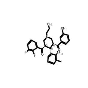 Cc1c(F)cccc1[C@H]1[C@@H](C(=O)c2cccc(O)c2)CN(CCO)C[C@@H]1C(=O)c1cccc(F)c1F